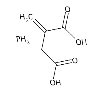 C=C(CC(=O)O)C(=O)O.P